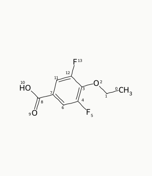 CCOc1c(F)cc(C(=O)O)cc1F